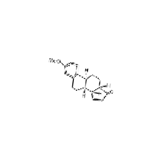 COc1ccc2c(c1)CC[C@H]1[C@H]3C=CC(=O)[C@H]3CC[C@H]21